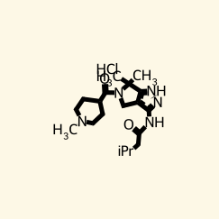 CC(C)CC(=O)Nc1n[nH]c2c1CN(C(=O)C1CCN(C)CC1)C2(C)C.Cl